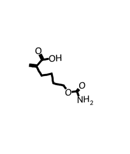 C=C(CCCCOC(N)=O)C(=O)O